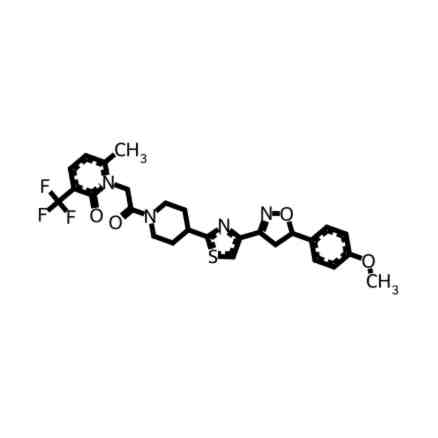 COc1ccc(C2CC(c3csc(C4CCN(C(=O)Cn5c(C)ccc(C(F)(F)F)c5=O)CC4)n3)=NO2)cc1